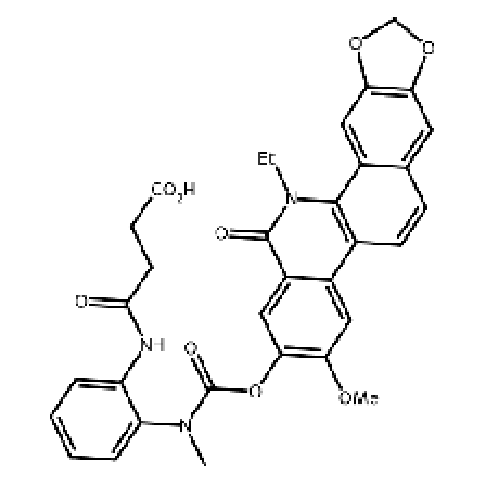 CCn1c(=O)c2cc(OC(=O)N(C)c3ccccc3NC(=O)CCC(=O)O)c(OC)cc2c2ccc3cc4c(cc3c21)OCO4